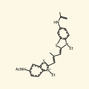 C=C(C)Nc1ccc2c(c1)S/C(=C\C(C)=C\c1sc3cc(NC(C)=O)ccc3[n+]1CC)N2CC